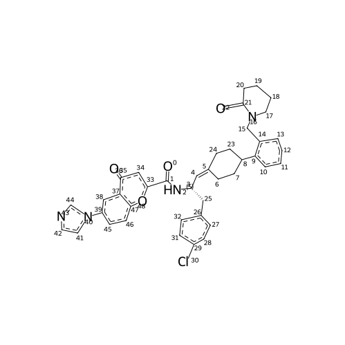 O=C(N[C@H](C=C1CCC(c2ccccc2CN2CCCCC2=O)CC1)Cc1ccc(Cl)cc1)c1cc(=O)c2cc(-n3ccnc3)ccc2o1